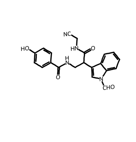 N#CCNC(=O)C(CNC(=O)c1ccc(O)cc1)c1cn(C=O)c2ccccc12